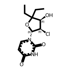 CCC1(CC)O[C@@H](n2ccc(=O)[nH]c2=O)[C@H](Cl)[C@@H]1O